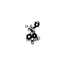 CN(CC1CCOCC1)C(=O)c1nc2cc(Cl)c3c(c2o1)C1(CCCCC1)NC(=O)N3